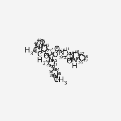 Cc1cc(C[C@@H](OC(=O)N2CCC(N3CCc4ccccc4NC3=O)CC2)C(=O)N2CCC(C3CCN(C)CC3)CC2)cc2c1N(C)CCO2